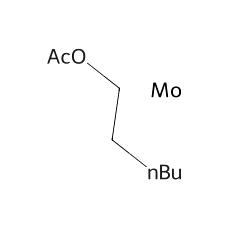 CCCCCCOC(C)=O.[Mo]